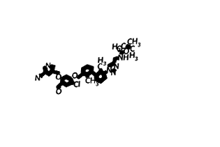 Cc1c(COc2cc(OCc3cncc(C#N)c3)c(C=O)cc2Cl)cccc1-c1cccc(-n2cc(CNC(=O)OC(C)(C)C)nn2)c1C